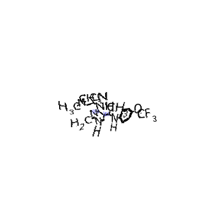 C=C/N=C(NC(C#N)CN(C)C)\C(C=N)=C(/C)Nc1ccc(OC(F)(F)F)cc1